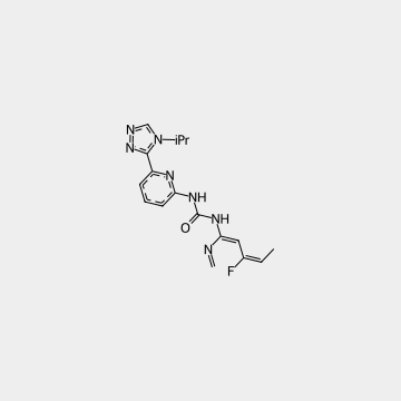 C=N/C(=C\C(F)=C/C)NC(=O)Nc1cccc(-c2nncn2C(C)C)n1